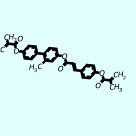 C=C(C)C(=O)Oc1ccc(/C=C/C(=O)Oc2ccc(-c3ccc(OC(=O)C(=C)C)cc3)c(C)c2)cc1